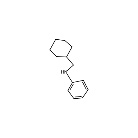 [c]1ccc(NCC2CCCCC2)cc1